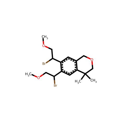 COCC(Br)c1cc2c(cc1C(Br)COC)C(C)(C)COC2